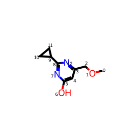 COCc1cc(O)nc(C2CC2)n1